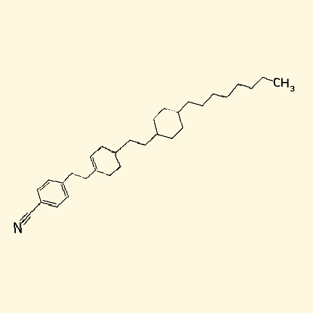 CCCCCCCCC1CCC(CCC2CC=C(CCc3ccc(C#N)cc3)CC2)CC1